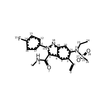 C=Cc1cc2c(C(=O)NC)n(-c3ccc(F)cc3)nc2cc1N(CC)S(C)(=O)=O